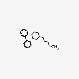 CCCCC[C@H]1CC[C@H](c2ccccc2-c2ccccc2)CC1